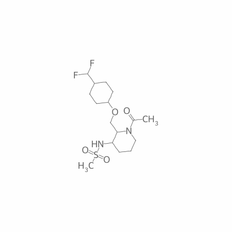 CC(=O)N1CCCC(NS(C)(=O)=O)C1COC1CCC(C(F)F)CC1